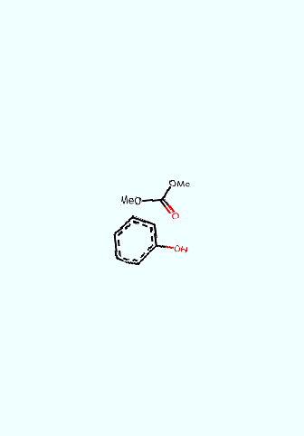 COC(=O)OC.Oc1ccccc1